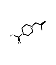 C=C(C)CN1CCN(C(=O)C(C)C)CC1